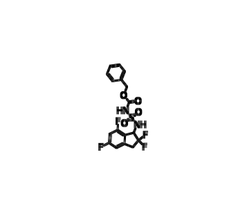 O=C(NS(=O)(=O)NC1c2c(F)cc(F)cc2CC1(F)F)OCc1ccccc1